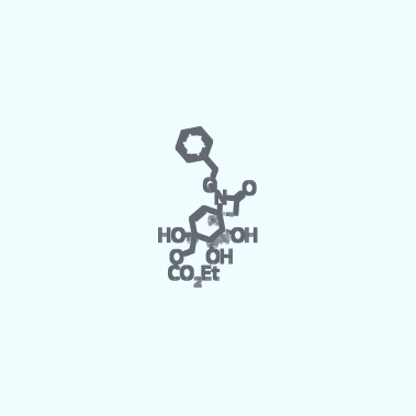 CCOC(=O)OC[C@]1(O)C=C[C@]2(CC(=O)N2OCc2ccccc2)[C@H](O)[C@@H]1O